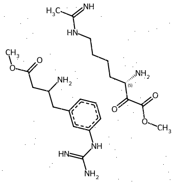 COC(=O)C(=O)[C@@H](N)CCCCNC(C)=N.COC(=O)CC(N)Cc1cccc(NC(=N)N)c1